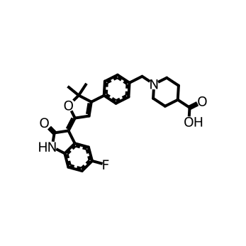 CC1(C)OC(=C2C(=O)Nc3ccc(F)cc32)C=C1c1ccc(CN2CCC(C(=O)O)CC2)cc1